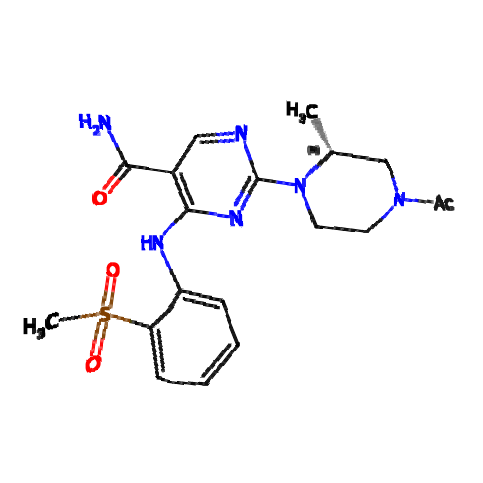 CC(=O)N1CCN(c2ncc(C(N)=O)c(Nc3ccccc3S(C)(=O)=O)n2)[C@H](C)C1